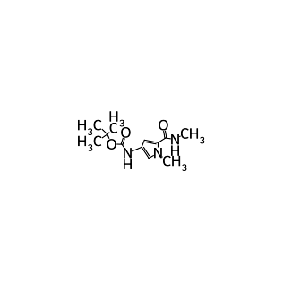 CNC(=O)c1cc(NC(=O)OC(C)(C)C)cn1C